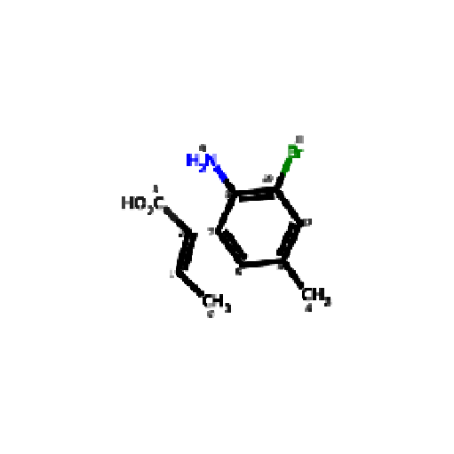 CC=CC(=O)O.Cc1ccc(N)c(Br)c1